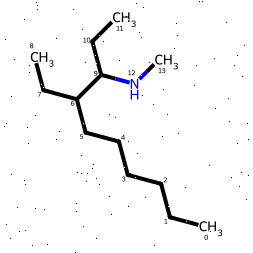 CCCCCCC(CC)C(CC)NC